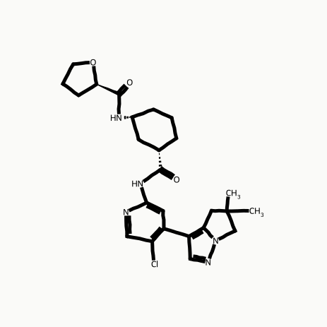 CC1(C)Cc2c(-c3cc(NC(=O)[C@H]4CCC[C@@H](NC(=O)[C@H]5CCCO5)C4)ncc3Cl)cnn2C1